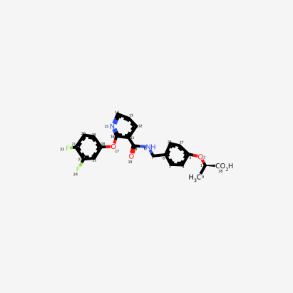 C[C@@H](Oc1ccc(CNC(=O)c2cccnc2Oc2ccc(F)c(F)c2)cc1)C(=O)O